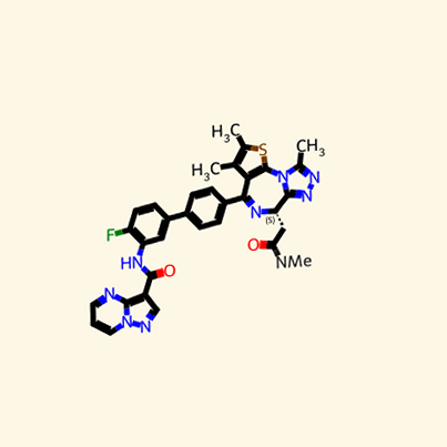 CNC(=O)C[C@@H]1N=C(c2ccc(-c3ccc(F)c(NC(=O)c4cnn5cccnc45)c3)cc2)c2c(sc(C)c2C)-n2c(C)nnc21